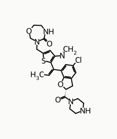 C=Nc1cc(CN2COCCNC2=O)sc1/C(=C\C)c1cc(Cl)cc2c1O[C@@H](C(=O)N1CCNCC1)C2